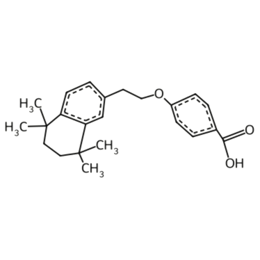 CC1(C)CCC(C)(C)c2cc(CCOc3ccc(C(=O)O)cc3)ccc21